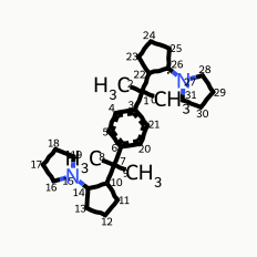 CC(C)(c1ccc(C(C)(C)C2CCC[C]2N2CCCC2)cc1)C1CCC[C]1N1CCCC1